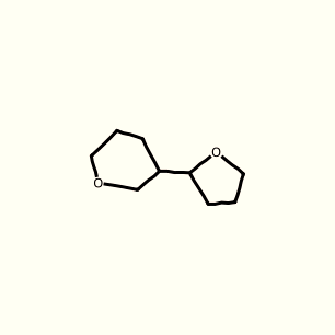 C1CO[C](C2CCCOC2)C1